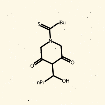 CCCC(O)C1C(=O)CN(C(=S)C(C)CC)CC1=O